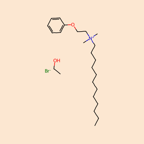 CCCCCCCCCCCC[N+](C)(C)CCOc1ccccc1.CCO.[Br-]